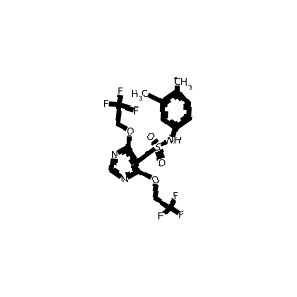 Cc1ccc(NS(=O)(=O)c2c(OCC(F)(F)F)ncnc2OCC(F)(F)F)cc1C